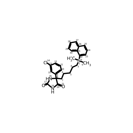 C[N+](C)(CCCCCC1(c2cccc(Cl)c2)NC(=O)NC1=O)c1cccc2ccccc12